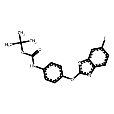 CC(C)(C)OC(=O)Nc1ccc(Oc2nc3ccc(F)cc3s2)cc1